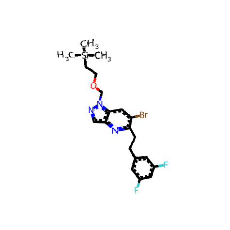 C[Si](C)(C)CCOCn1ncc2nc(CCc3cc(F)cc(F)c3)c(Br)cc21